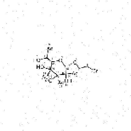 CC(=O)C(O)[C@H]1O[C@H](OCCBr)[C@@](O)(C(C)=O)[C@](O)(C(C)=O)[C@@]1(O)C(C)=O